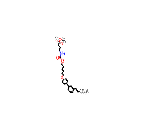 CCO[Si](CCCNC(=O)OCCCCCCOc1ccc(-c2cccc(C=CC(=O)O)c2)cc1)(OCC)OCC